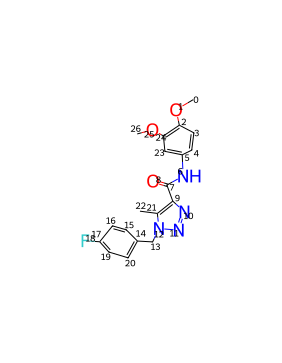 COc1ccc(NC(=O)c2nnn(Cc3ccc(F)cc3)c2C)cc1OC